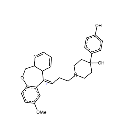 COc1ccc2c(c1)/C(=C/CCN1CCC(O)(c3ccc(O)cc3)CC1)C1C=CC=NC1CO2